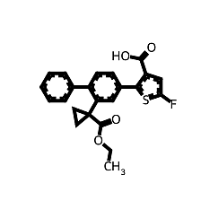 CCOC(=O)C1(c2cc(-c3sc(F)cc3C(=O)O)ccc2-c2ccccc2)CC1